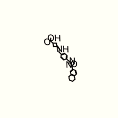 O=C(O)C1CC(NCc2ccc(-c3noc(-c4ccc5c(c4)CCCC5)n3)cc2)C1